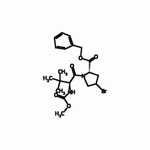 COC(=O)N[C@H](C(=O)N1CC(Br)C[C@H]1C(=O)OCc1ccccc1)C(C)(C)C